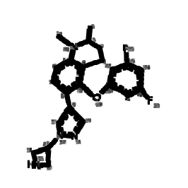 CC1CCc2c(ccc(-c3cnn(C4CNC4)c3)c2Oc2cc(F)cc(F)c2)N1C